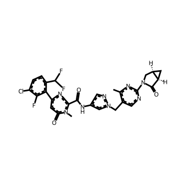 Cc1nc(N2C[C@H]3C[C@H]3C2=O)ncc1Cn1cc(NC(=O)c2nc(-c3c(C(F)F)ccc(Cl)c3F)cc(=O)n2C)cn1